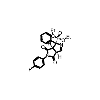 CCOP(=O)(OCC)[C@]1(c2ccccc2)N=C[C@H]2C(=O)N(c3ccc(F)cc3)C(=O)[C@H]21